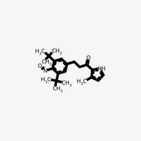 Cc1cc[nH]c1C(=O)CCc1cc(C(C)(C)C)c(N=O)c(C(C)(C)C)c1